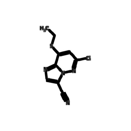 CCSc1cc(Cl)nn2c(C#N)cnc12